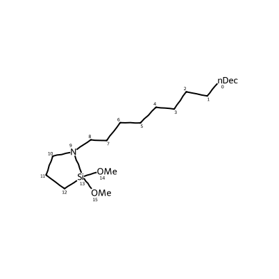 CCCCCCCCCCCCCCCCCCN1CCC[Si]1(OC)OC